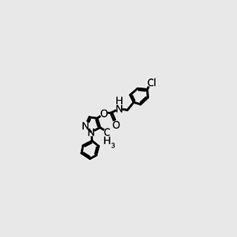 Cc1c(OC(=O)NCc2ccc(Cl)cc2)cnn1-c1ccccc1